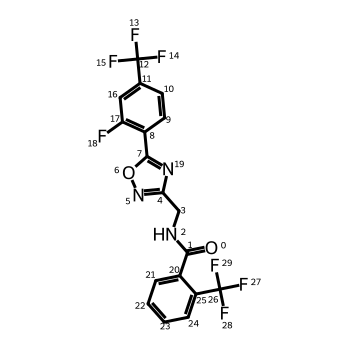 O=C(NCc1noc(-c2ccc(C(F)(F)F)cc2F)n1)c1ccccc1C(F)(F)F